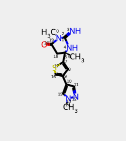 CN1C(=N)N[C@](C)(c2cc(-c3cnn(C)c3)cs2)CC1=O